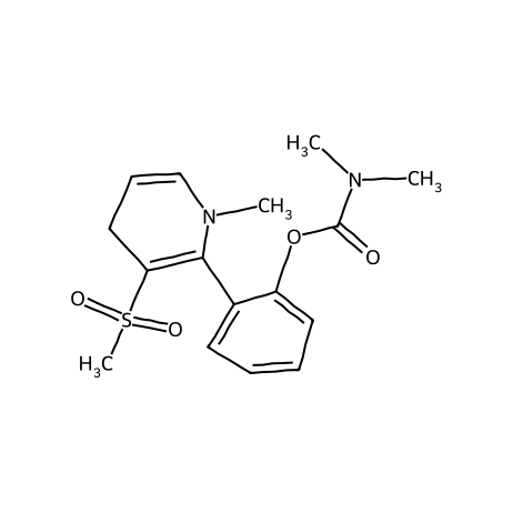 CN(C)C(=O)Oc1ccccc1C1=C(S(C)(=O)=O)CC=CN1C